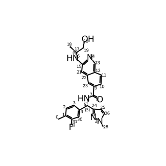 Cc1ccc([C@H](NC(=O)c2ccc3cnc(N[C@@H](C)CO)cc3c2)c2ccn(C)n2)cc1F